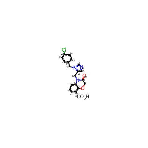 O=C(O)c1cccc2c1OCC(=O)N2Cc1cncn1Cc1ccc(Cl)cc1